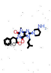 COC(=O)C(Cc1ccccc1)n1c(=O)c2c(nc(N3CCCC(N)C3)n2CC=C(C)C)n(C)c1=O